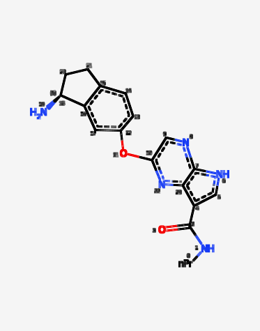 CCCNC(=O)c1c[nH]c2ncc(Oc3ccc4c(c3)[C@@H](N)CC4)nc12